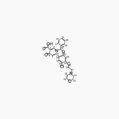 O=C(O)c1cn2c(cc1=O)-c1cc(Cl)c(OCCN3CCOCC3)cc1OC2c1ccccc1